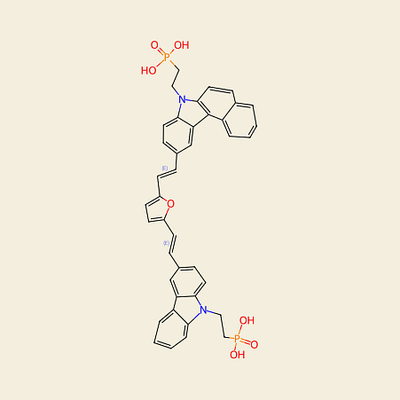 O=P(O)(O)CCn1c2ccccc2c2cc(/C=C/c3ccc(/C=C/c4ccc5c(c4)c4c6ccccc6ccc4n5CCP(=O)(O)O)o3)ccc21